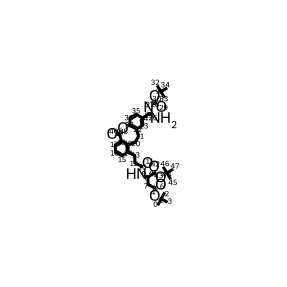 CC(C)(C)OC(=O)CC(NC(=O)CCc1cccc2c1CCc1cc(C(N)=NC(=O)OC(C)(C)C)ccc1OC2=O)C(=O)OC(C)(C)C